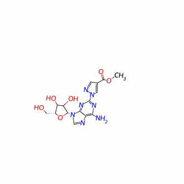 COC(=O)c1cnn(-c2nc(N)c3ncn([C@@H]4O[C@H](CO)C(O)C4O)c3n2)c1